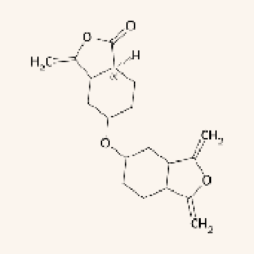 C=C1OC(=C)C2CC(OC3CC[C@@H]4C(=O)OC(=C)C4C3)CCC12